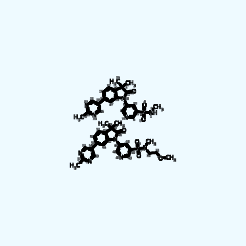 CNS(=O)(=O)c1cncc(N2C(=O)C(C)(C)c3ccc(-c4cnc(C)nc4)cc32)c1.COCCN(C)S(=O)(=O)c1cncc(N2C(=O)C(C)(C)c3ccc(-c4cnc(C)nc4)cc32)c1